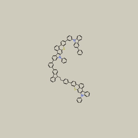 c1ccc(-c2ccc3c(c2)c2ccccc2n3-c2cccc(-c3ccc4c(c3)Sc3cc5c(c6cccc-4c36)c3ccc(-c4cccc(-c6ccc7c(c6)-c6ccccc6C7CCc6ccc(-c7ccc8c(c7)Sc7cc9c(c%10cccc-8c7%10)c7ccccc7n9-c7ccccc7)cc6)c4)cc3n5-c3ccccc3)c2)cc1